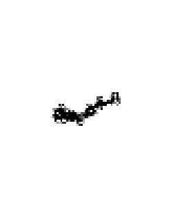 O=C(Cl)CCCC(=O)OCC1CCC(COC(=O)c2ccc(S(=O)(=O)N3C(=O)CCC3=O)cc2)CC1